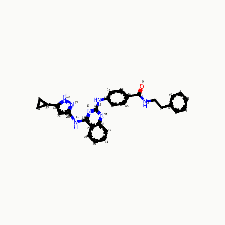 O=C(NCCc1ccccc1)c1ccc(Nc2nc(Nc3cc(C4CC4)[nH]n3)c3ccccc3n2)cc1